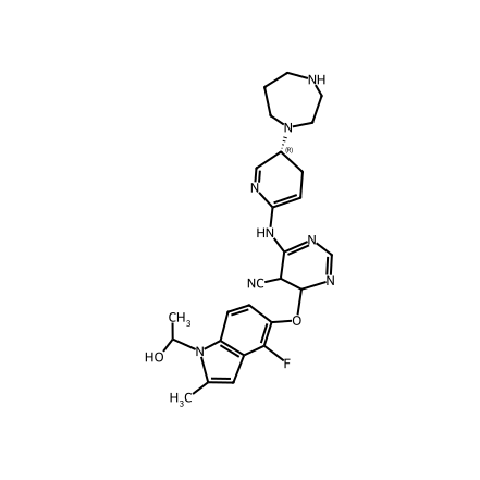 Cc1cc2c(F)c(OC3N=CN=C(NC4=CC[C@@H](N5CCCNCC5)C=N4)C3C#N)ccc2n1C(C)O